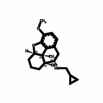 COc1ccc2c3c1O[C@@H]1CCC[C@](O)([C@@H](NCC4CC4)C2)[C@]31C